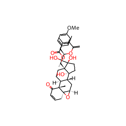 C=C1O[C@@H]([C@](C)(O)[C@]2(O)CC[C@@]3(O)[C@@H]4C[C@H]5O[C@]56CC=CC(=O)[C@]6(C)[C@H]4CC[C@]23COC(=O)c2ccc(OC)cc2)CC(C)=C1C